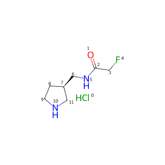 Cl.O=C(CF)NC[C@@H]1CCNC1